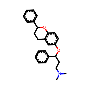 CN(C)CCC(Oc1ccc2c(c1)CCC(c1ccccc1)O2)c1ccccc1